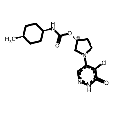 C[C@H]1CC[C@@H](NC(=O)O[C@@H]2CCN(c3cn[nH]c(=O)c3Cl)C2)CC1